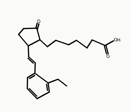 CCc1ccccc1/C=C/C1CCC(=O)C1CCCCCCC(=O)O